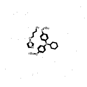 CC(C)CCCOn1ccnc1.CCCCSc1ccc(B(c2ccc(SCCCC)cc2)C2CCCCC2)cc1